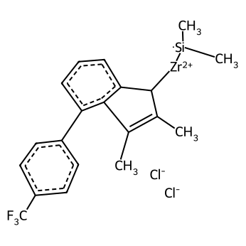 CC1=C(C)[CH]([Zr+2][Si](C)C)c2cccc(-c3ccc(C(F)(F)F)cc3)c21.[Cl-].[Cl-]